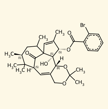 CC1=CC23C(=O)[C@@H](C=C4COC(C)(C)O[C@H]4[C@]2(O)[C@H]1OC(=O)c1ccccc1Br)C(C)(C)[C@@H](C)CC3C